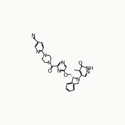 Cc1c(N2Cc3ccccc3[C@@H]2COc2cncc(C(=O)N3CCN(c4ccc(C#N)cn4)CC3)n2)cn[nH]c1=O